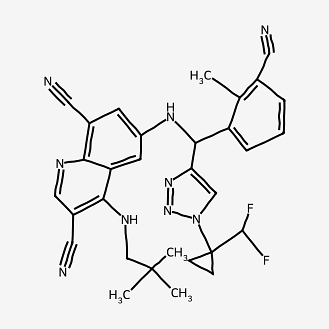 Cc1c(C#N)cccc1C(Nc1cc(C#N)c2ncc(C#N)c(NCC(C)(C)C)c2c1)c1cn(C2(C(F)F)CC2)nn1